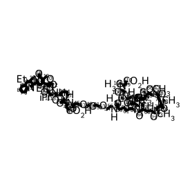 CCc1c2c(nc3ccccc13)-c1cc3c(c(=O)n1C2)COC(=O)[C@@]3(CC)OC(=O)[C@@H](NC(=O)[C@@H]1CCCN1C(=O)C(CC(=O)O)NC(=O)CCOCCOCCOCCNC(=O)CCCCCNC(=O)CCCC(=O)N(C)CC(=O)N(C)CC(=O)N(C)CC(=O)N(C)CC(=O)N(C)CC(=O)N(C)CC(=O)N(C)CC(=O)N(C)CC(=O)O)C(C)C